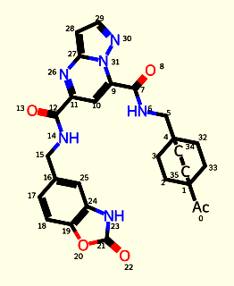 CC(=O)C12CCC(CNC(=O)c3cc(C(=O)NCc4ccc5oc(=O)[nH]c5c4)nc4ccnn34)(CC1)CC2